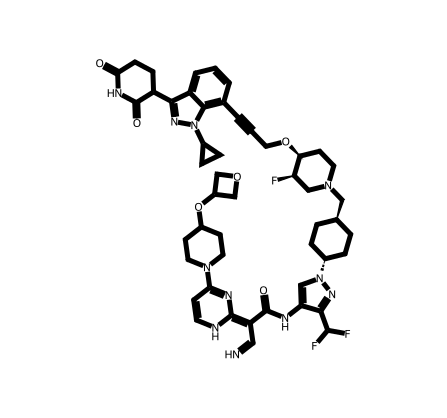 N=C/C(C(=O)Nc1cn([C@H]2CC[C@H](CN3CC[C@H](OCC#Cc4cccc5c(C6CCC(=O)NC6=O)nn(C6CC6)c45)[C@H](F)C3)CC2)nc1C(F)F)=C1/N=C(N2CCC(OC3COC3)CC2)C=CN1